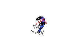 CCCN(CC)C1CCN(c2ccc3c(c2)C(C)(C)CN(CC(O)CN2CCC4=C(C=CCC=C4)C2)C3=O)CC1